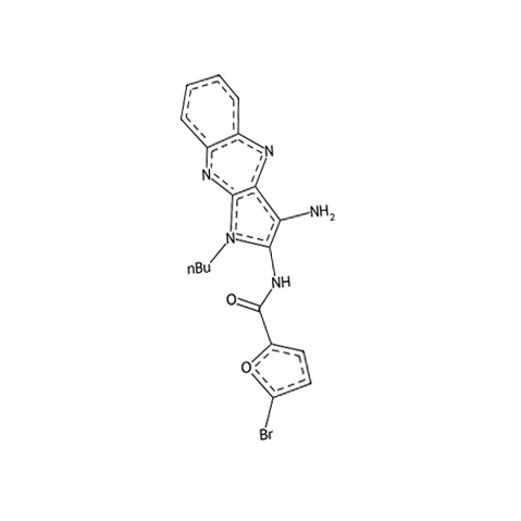 CCCCn1c(NC(=O)c2ccc(Br)o2)c(N)c2nc3ccccc3nc21